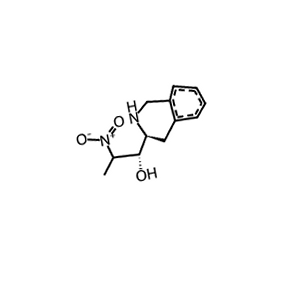 CC([C@@H](O)[C@@H]1Cc2ccccc2CN1)[N+](=O)[O-]